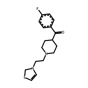 O=C(c1ccc(F)cc1)C1CCN(CCN2C=CSC2)CC1